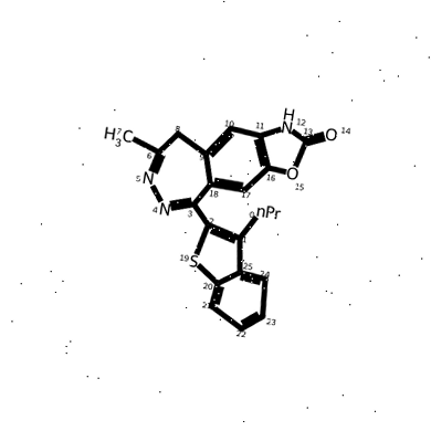 CCCc1c(C2=NN=C(C)Cc3cc4[nH]c(=O)oc4cc32)sc2ccccc12